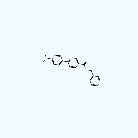 CCOC(=O)N(C)c1ccc(-c2ccc(C(=O)NCc3cccnc3)cn2)cc1